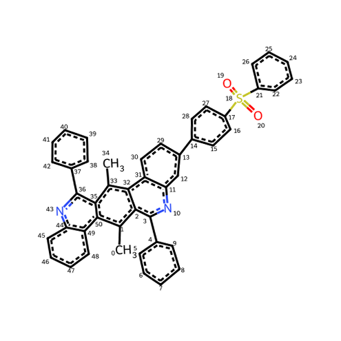 Cc1c2c(-c3ccccc3)nc3cc(-c4ccc(S(=O)(=O)c5ccccc5)cc4)ccc3c2c(C)c2c(-c3ccccc3)nc3ccccc3c12